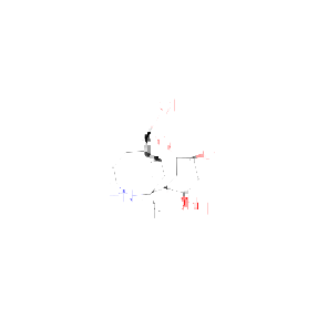 O=C1C[C@@H](O)[C@]2(O)CC1Oc1c(O)ccc3c1CCCN[C@@H]2C3